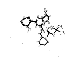 CC(C)(C)OC(=O)N1CCCCC1CNc1cc(-c2ccccc2Cl)nc2c(Br)cnn12